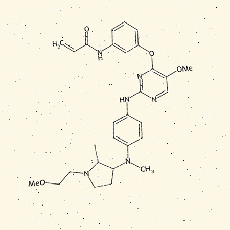 C=CC(=O)Nc1cccc(Oc2nc(Nc3ccc(N(C)C4CCN(CCOC)C4I)cc3)ncc2OC)c1